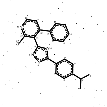 CC(C)c1ccc(-c2nnc(-c3c(-c4ccccc4)ccnc3Cl)o2)cc1